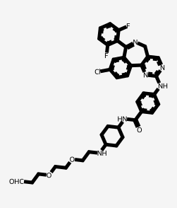 O=CCCOCCOCCNC1CCC(NC(=O)c2ccc(Nc3ncc4c(n3)-c3ccc(Cl)cc3C(c3c(F)cccc3F)=NC4)cc2)CC1